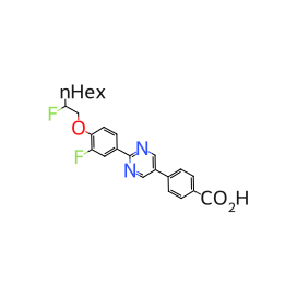 CCCCCCC(F)COc1ccc(-c2ncc(-c3ccc(C(=O)O)cc3)cn2)cc1F